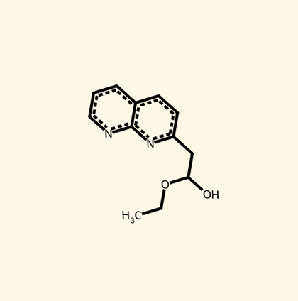 CCOC(O)Cc1ccc2cccnc2n1